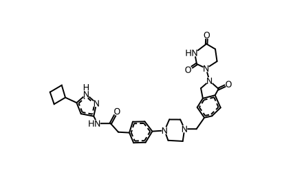 O=C1CCN(N2Cc3cc(CN4CCN(c5ccc(CC(=O)Nc6cc(C7CCC7)[nH]n6)cc5)CC4)ccc3C2=O)C(=O)N1